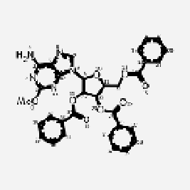 COc1nc(N)c2ncn(C3OC(COC(=O)c4ccccc4)C(OC(=O)c4ccccc4)C3OC(=O)c3ccccc3)c2n1